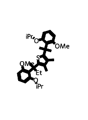 CCC(C)(c1sc(C(C)(C)c2c(OC)cccc2OC(C)C)c(C)c1C)c1c(OC)cccc1OC(C)C